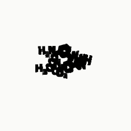 CC(C)(C)OC(=O)N1CCc2c(c(-c3cccc(C(N)=O)c3)nc3[nH]ncc23)C1